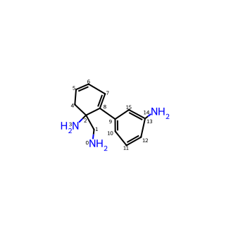 NCC1(N)CC=CC=C1c1cccc(N)c1